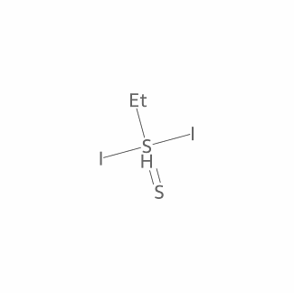 CC[SH](=S)(I)I